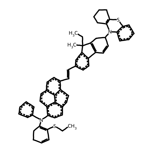 CCSC1=C(N(c2ccccc2)c2ccc3ccc4c(/C=C/c5ccc6c(c5)C(C)(CC)C5=C6C=CC(N6C7=C(CCCC7)Sc7ccccc76)C5)ccc5ccc2c3c54)CCC=C1